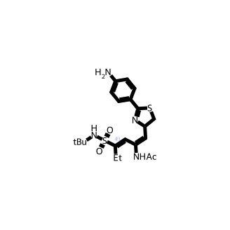 CC/C(=C\C(=CC1CSC(c2ccc(N)cc2)=N1)NC(C)=O)S(=O)(=O)NC(C)(C)C